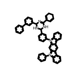 C1=CC(C2=NC(c3cccc(-c4ccccc4)c3)NC(c3cccc(-n4c5ccccc5c5cc6c7ccccc7n(-c7ccccc7)c6cc54)c3)N2)=CCC1